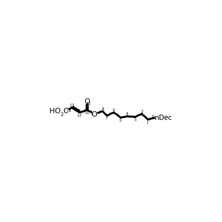 CCCCCCCCCCCCCCCCCCOC(=O)/C=C/C(=O)O